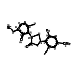 COc1cc(F)c([C@H]2CC(=O)N(c3c(C)ccn(CC#N)c3=O)C2)c(F)c1